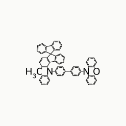 CC1C=CC2=C(c3ccccc3C23c2ccccc2-c2ccccc23)C1N(c1ccccc1)c1ccc(-c2ccc(N3c4ccccc4Oc4ccccc43)cc2)cc1